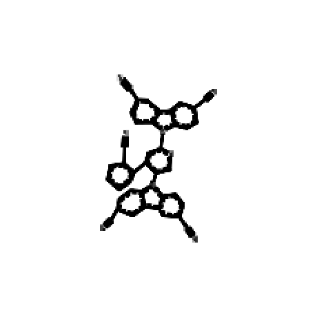 N#Cc1ccc2c(c1)c1cc(C#N)ccc1n2-c1cc(-c2ccccc2C#N)c(-n2c3ccc(C#N)cc3c3cc(C#N)ccc32)cn1